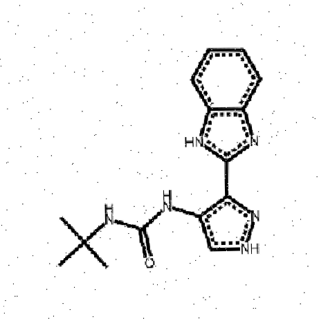 CC(C)(C)NC(=O)Nc1c[nH]nc1-c1nc2ccccc2[nH]1